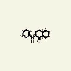 O=C1c2ccccc2CCC1Nc1ccccn1